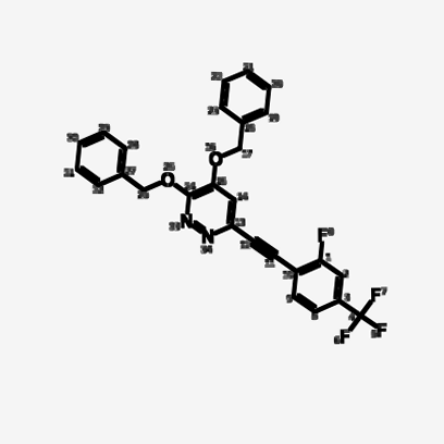 Fc1cc(C(F)(F)F)ccc1C#Cc1cc(OCc2ccccc2)c(OCc2ccccc2)nn1